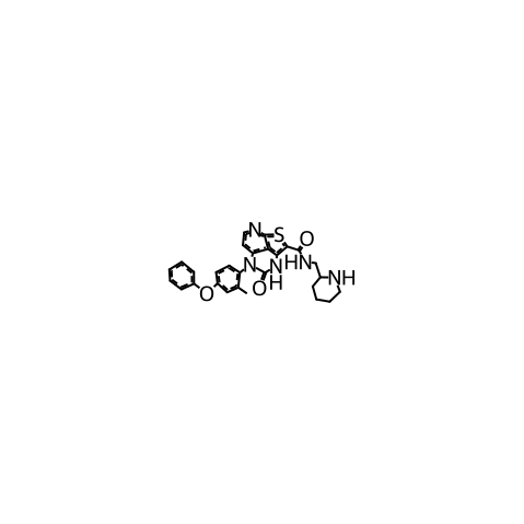 Cc1cc(Oc2ccccc2)ccc1N1C(=O)Nc2c(C(=O)NCC3CCCCN3)sc3nccc1c23